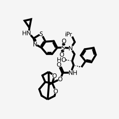 CC(C)CN(C[C@@H](O)[C@H](Cc1ccccc1)NC(=O)OC1C2CCC3CC1OC3OC2)S(=O)(=O)c1ccc2nc(NC3CC3)sc2c1